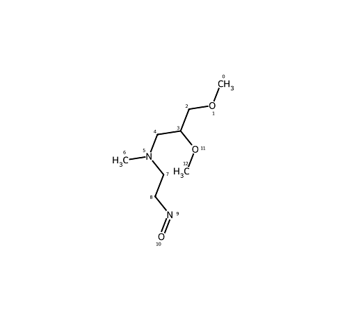 COCC(CN(C)CCN=O)OC